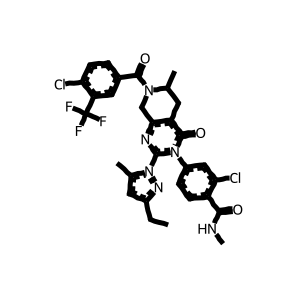 CCc1cc(C)n(-c2nc3c(c(=O)n2-c2ccc(C(=O)NC)c(Cl)c2)CC(C)N(C(=O)c2ccc(Cl)c(C(F)(F)F)c2)C3)n1